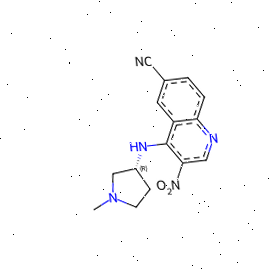 CN1CC[C@@H](Nc2c([N+](=O)[O-])cnc3ccc(C#N)cc23)C1